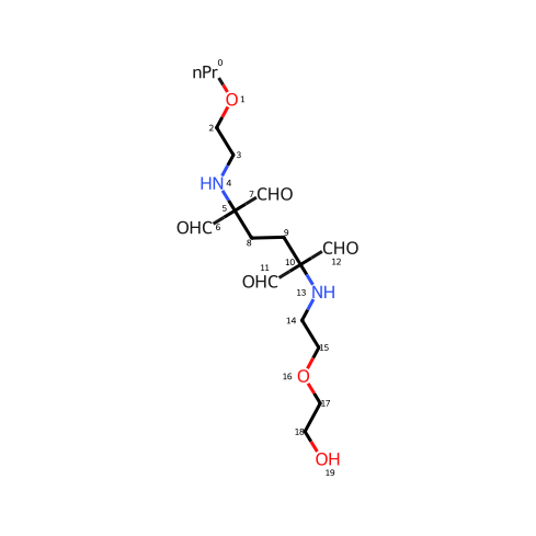 CCCOCCNC(C=O)(C=O)CCC(C=O)(C=O)NCCOCCO